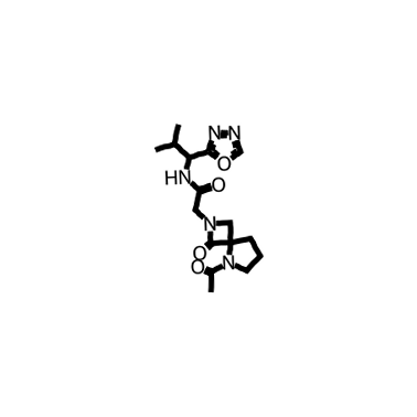 CC(=O)N1CCCC12CN(CC(=O)NC(c1nnco1)C(C)C)C2=O